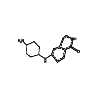 NC1CCC(Nc2ccc3c(=O)[nH]ccc3c2)CC1